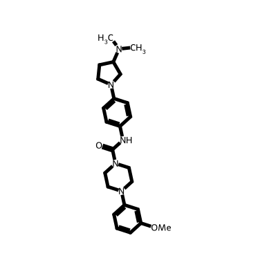 COc1cccc(N2CCN(C(=O)Nc3ccc(N4CCC(N(C)C)C4)cc3)CC2)c1